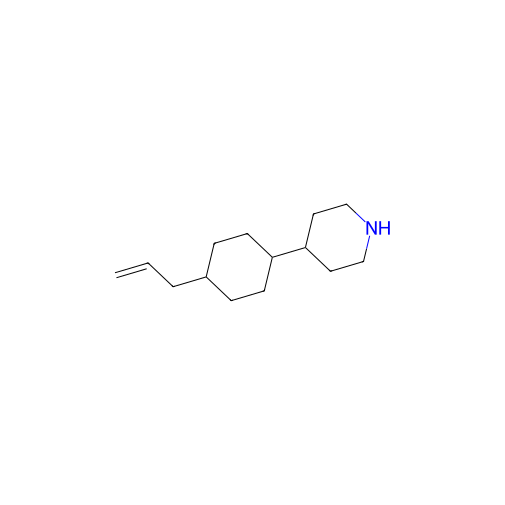 C=CCC1CCC(C2CCNCC2)CC1